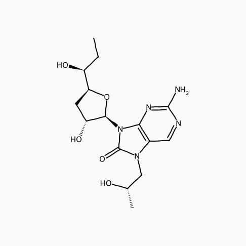 CC[C@H](O)[C@@H]1C[C@@H](O)[C@H](n2c(=O)n(C[C@H](C)O)c3cnc(N)nc32)O1